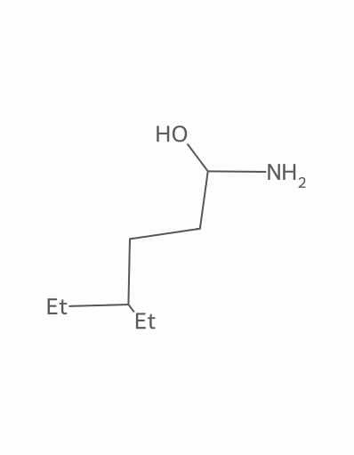 CCC(CC)CCC(N)O